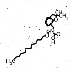 CCCCCCCCCCCCOSN(Cc1cccc2c1OC(C)(C)C2)C(=O)O